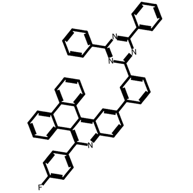 Fc1ccc(-c2nc3ccc(-c4cccc(-c5nc(-c6ccccc6)nc(-c6ccccc6)n5)c4)cc3c3c4ccccc4c4ccccc4c23)cc1